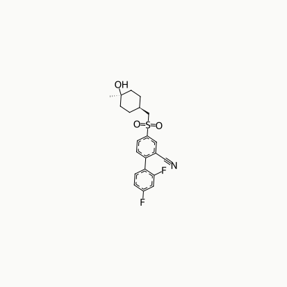 C[C@]1(O)CC[C@@H](CS(=O)(=O)c2ccc(-c3ccc(F)cc3F)c(C#N)c2)CC1